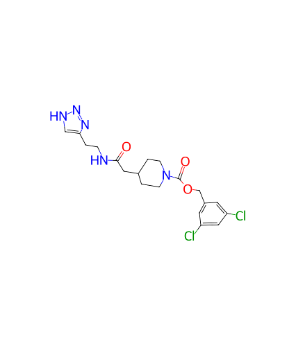 O=C(CC1CCN(C(=O)OCc2cc(Cl)cc(Cl)c2)CC1)NCCc1c[nH]nn1